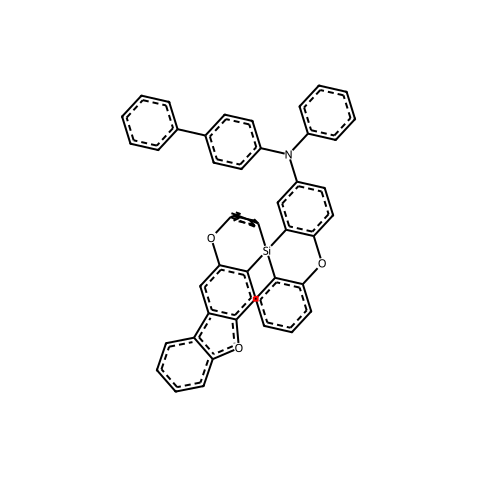 c1ccc(-c2ccc(N(c3ccccc3)c3ccc4c(c3)[Si]3(c5ccccc5O4)c4ccccc4Oc4cc5c(cc43)oc3ccccc35)cc2)cc1